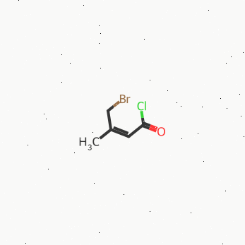 CC(=CC(=O)Cl)CBr